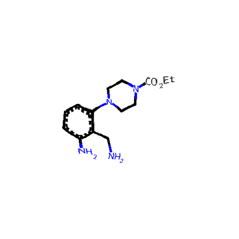 CCOC(=O)N1CCN(c2cccc(N)c2CN)CC1